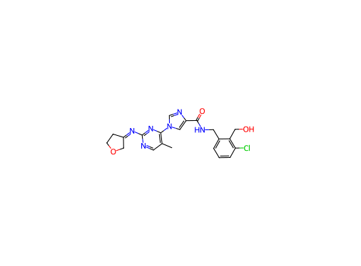 Cc1cnc(/N=C2/CCOC2)nc1-n1cnc(C(=O)NCc2cccc(Cl)c2CO)c1